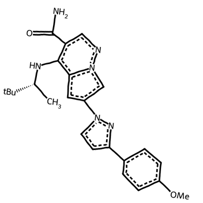 COc1ccc(-c2ccn(-c3cc4c(N[C@H](C)C(C)(C)C)c(C(N)=O)cnn4c3)n2)cc1